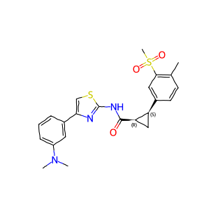 Cc1ccc([C@H]2C[C@H]2C(=O)Nc2nc(-c3cccc(N(C)C)c3)cs2)cc1S(C)(=O)=O